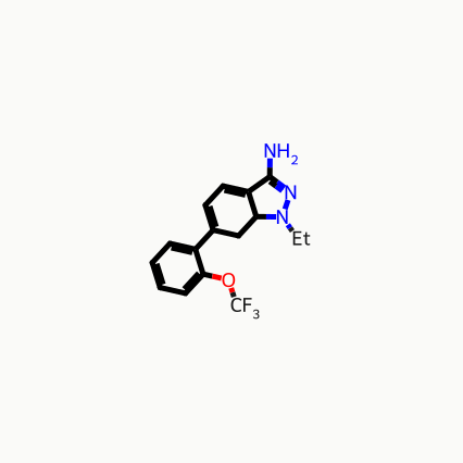 CCN1N=C(N)C2=CC=C(c3ccccc3OC(F)(F)F)CC21